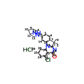 CC1(C)c2ccc(N3CC4CC(C3)N4)cc2-n2c1nc(=O)c1c(Cl)cccc12.Cl